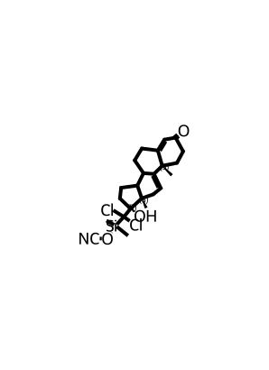 C[C@]12CCC(=O)C=C1CCC1C2=CC[C@@]2(C)C1CC[C@]2(O)C(Cl)(Cl)[Si](C)(C)OC#N